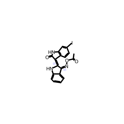 CC(=O)O/N=C1\C(=C2\C(=O)Nc3cc(I)ccc32)Nc2ccccc21